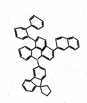 c1ccc(-c2ccccc2-c2ccccc2-c2ccccc2N(c2ccc(-c3ccc4ccccc4c3)cc2)c2ccc3c(c2)-c2ccccc2C32CCCC2)cc1